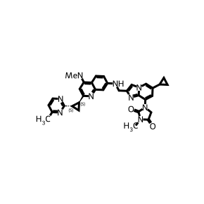 CNc1cc([C@H]2C[C@@H]2c2nccc(C)n2)nc2cc(NCc3cn4cc(C5CC5)cc(N5CC(=O)N(C)C5=O)c4n3)ccc12